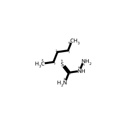 CCCCC.NNC(N)=S